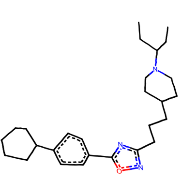 CCC(CC)N1CCC(CCCc2noc(-c3ccc(C4CCCCC4)cc3)n2)CC1